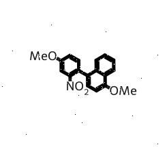 COc1ccc(-c2ccc(OC)c3ccccc23)c([N+](=O)[O-])c1